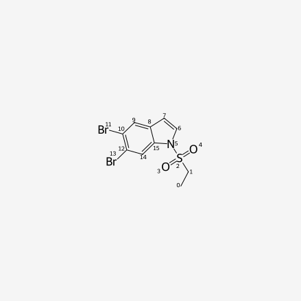 CCS(=O)(=O)n1ccc2cc(Br)c(Br)cc21